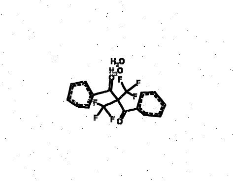 O.O.O=C(c1ccccc1)C(C(=O)c1ccccc1)(C(F)(F)F)C(F)(F)F